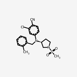 Cc1ccccc1CN(c1ccc(C#N)c(Cl)c1)[C@H]1CCN(S(C)(=O)=O)C1